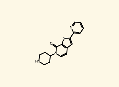 O=c1c2sc(-c3ccccn3)cc2ccn1C1CCNCC1